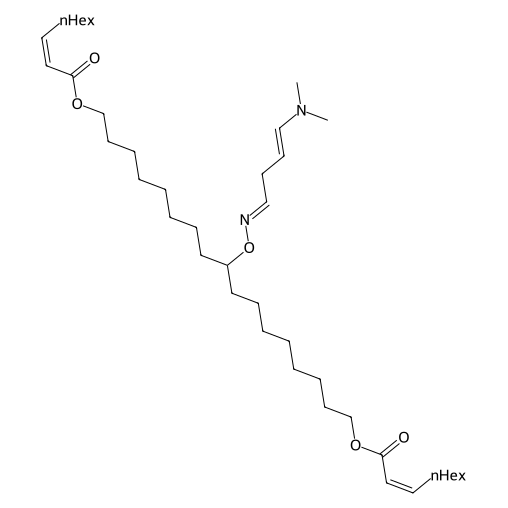 CCCCCC/C=C\C(=O)OCCCCCCCCC(CCCCCCCCOC(=O)/C=C\CCCCCC)O/N=C/C/C=C/N(C)C